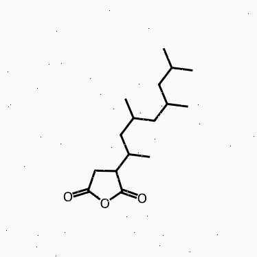 CC(C)CC(C)CC(C)CC(C)C1CC(=O)OC1=O